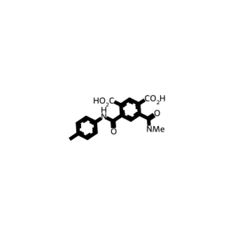 CNC(=O)c1cc(C(=O)Nc2ccc(C)cc2)c(C(=O)O)cc1C(=O)O